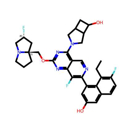 CCc1c(F)ccc2cc(O)cc(-c3ncc4c(N5CC6CC(O)C6C5)nc(OC[C@@]56CCCN5C[C@H](F)C6)nc4c3F)c12